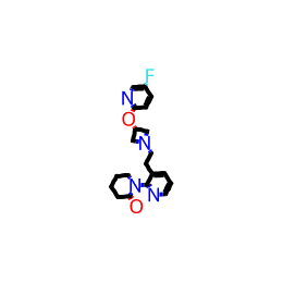 O=C1CCCCN1c1ncccc1CCN1CC(Oc2ccc(F)cn2)C1